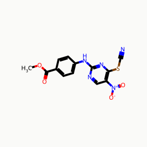 COC(=O)c1ccc(Nc2ncc([N+](=O)[O-])c(SC#N)n2)cc1